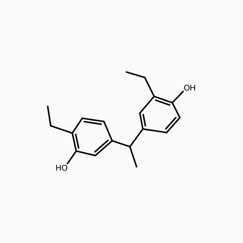 CCc1ccc(C(C)c2ccc(O)c(CC)c2)cc1O